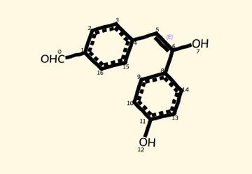 O=Cc1ccc(/C=C(/O)c2ccc(O)cc2)cc1